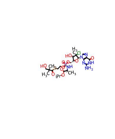 CC(C)OC(=O)[C@H](C)N[P@](=O)(OCCSC(=O)C(C)(C)CO)OC[C@H]1O[C@@H](n2cnc3c(=O)[nH]c(N)nc32)[C@](C)(Cl)[C@@H]1O